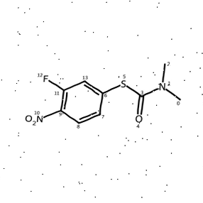 CN(C)C(=O)Sc1ccc([N+](=O)[O-])c(F)c1